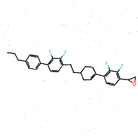 CCCc1ccc(-c2ccc(CCC3CC=C(c4ccc(C5CO5)c(F)c4F)CC3)c(F)c2F)cc1